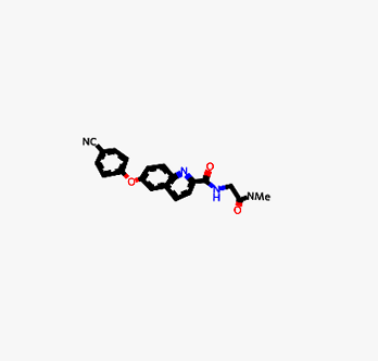 CNC(=O)CNC(=O)c1ccc2cc(Oc3ccc(C#N)cc3)ccc2n1